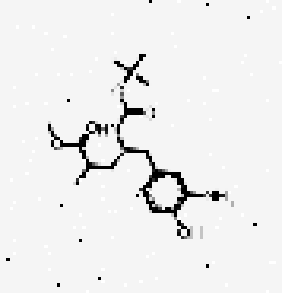 COC(=O)C(C)C[C@H](Cc1ccc(O)c(N)c1)NC(=O)OC(C)(C)C